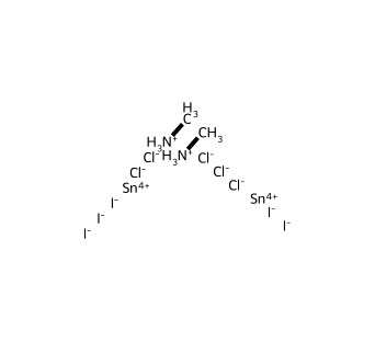 C[NH3+].C[NH3+].[Cl-].[Cl-].[Cl-].[Cl-].[Cl-].[I-].[I-].[I-].[I-].[I-].[Sn+4].[Sn+4]